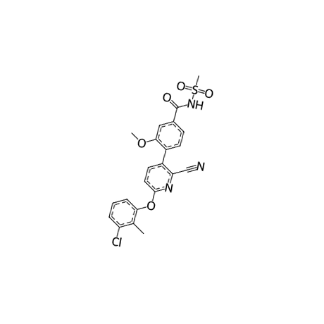 COc1cc(C(=O)NS(C)(=O)=O)ccc1-c1ccc(Oc2cccc(Cl)c2C)nc1C#N